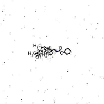 CC(CCOC(=O)/C=C/C(=O)OC1CCCCC1)[SiH](O[Si](C)(C)C)O[Si](C)(C)C